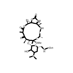 CCCCCCCCNC[C@@H]1CC(N(C)C)C(O)[C@H](O[C@@H]2[C@@H](C)C(=O)C(C)C(=O)O[C@@H](CC)[C@@]3(C)OC(=O)N[C@@H]3[C@@H](C)NC[C@H](C)C[C@@]2(C)OC)O1